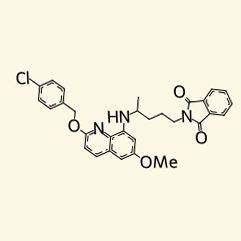 COc1cc(NC(C)CCCN2C(=O)c3ccccc3C2=O)c2nc(OCc3ccc(Cl)cc3)ccc2c1